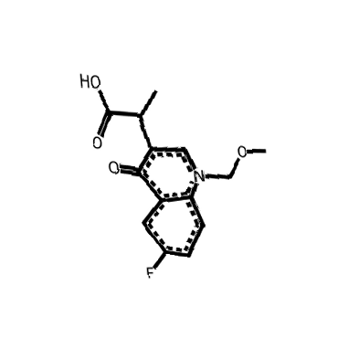 COCn1cc(C(C)C(=O)O)c(=O)c2cc(F)ccc21